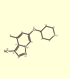 Cc1cc(OC2CCSCC2)cn2ncc(C#N)c12